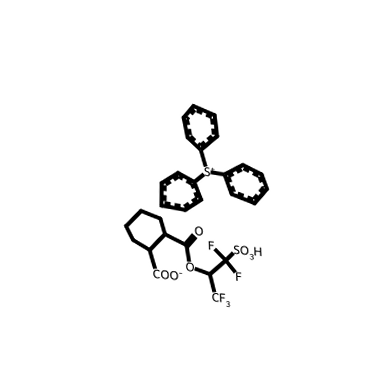 O=C([O-])C1CCCCC1C(=O)OC(C(F)(F)F)C(F)(F)S(=O)(=O)O.c1ccc([S+](c2ccccc2)c2ccccc2)cc1